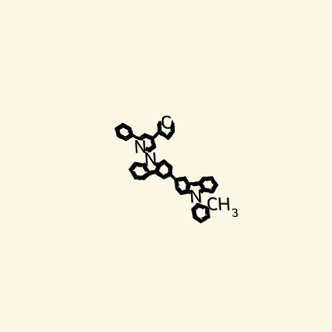 Cc1ccccc1-n1c2ccccc2c2cc(-c3ccc4c(c3)c3ccccc3n4-c3cc(-c4ccccc4)cc(-c4ccccc4)n3)ccc21